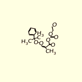 CC(=COOC(C)(C)c1ccccc1)C(=O)OC(=O)OCC=O